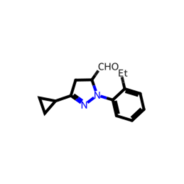 CCc1ccccc1N1N=C(C2CC2)CC1C=O